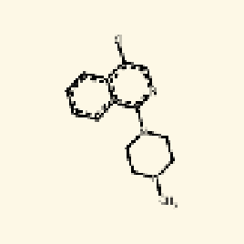 CN1CCN(c2ncc(Cl)c3ccccc23)CC1